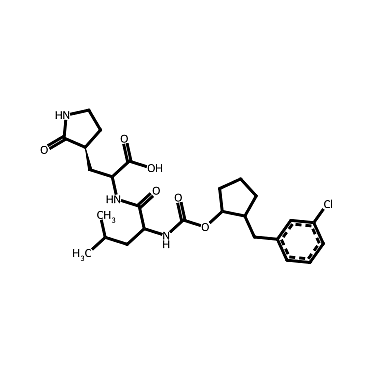 CC(C)CC(NC(=O)OC1CCCC1Cc1cccc(Cl)c1)C(=O)NC(C[C@@H]1CCNC1=O)C(=O)O